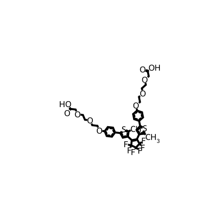 Cc1sc(-c2ccc(OCCOCCOCC(=O)O)cc2)cc1C1=C(c2cc(-c3ccc(OCCOCCOCC(=O)O)cc3)sc2C)C(F)(F)C(F)(F)C1(F)F